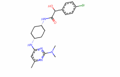 Cc1cc(N[C@H]2CC[C@@H](NC(=O)C(O)c3ccc(Br)cc3)CC2)nc(N(C)C)n1